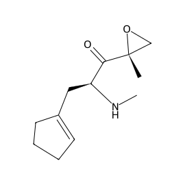 CN[C@@H](CC1=CCCC1)C(=O)[C@@]1(C)CO1